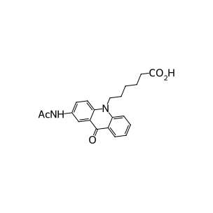 CC(=O)Nc1ccc2c(c1)c(=O)c1ccccc1n2CCCCCC(=O)O